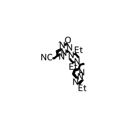 CCc1cn2nc(C(C)N3C[C@H](CC)N(c4nc(=O)n(C)c5cc(CC#N)nn45)C[C@H]3CC)ccc2n1